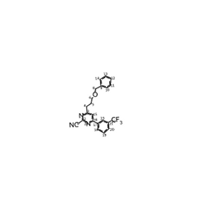 N#Cc1nc(CCCOCc2ccccc2)cc(-c2cccc(C(F)(F)F)c2)n1